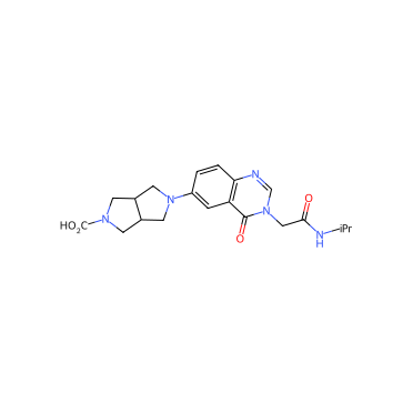 CC(C)NC(=O)Cn1cnc2ccc(N3CC4CN(C(=O)O)CC4C3)cc2c1=O